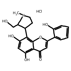 CN1CCC(c2c(O)cc(O)c3c(=O)cc(-c4ccccc4O)oc23)C1CO.Cl